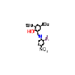 CP(C)c1cc([N+](=O)[O-])ccc1/N=C/c1cc(C(C)(C)C)cc(C(C)(C)C)c1O